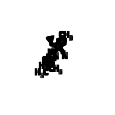 Cc1ccc2c(C#N)c(-c3ncc(S(=O)(=O)NC(C)C)cn3)n(CC3CC3)c2c1